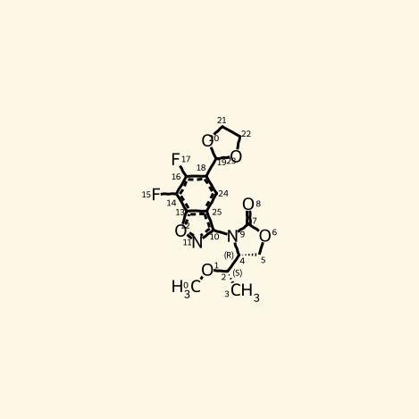 CO[C@@H](C)[C@H]1COC(=O)N1c1noc2c(F)c(F)c(C3OCCO3)cc12